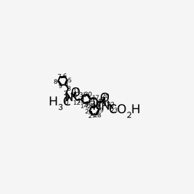 CN(CCc1ccccc1)C(=O)Cc1ccc(CC(C(=O)NCC(=O)O)c2ccccc2)cc1